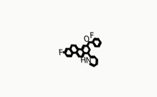 O=C(c1ccccc1F)C1C=c2c(ccc3c2=CCc2cc(F)ccc2-3)C(C2=CC=CC=CN2)C1